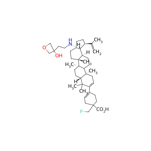 C=C(C)[C@@H]1CC[C@]2(NCCC3(O)COC3)CC[C@]3(C)[C@H](CCC4[C@@]5(C)CC=C(C6=CCC(CF)(C(=O)O)CC6)C(C)(C)[C@@H]5CC[C@]43C)[C@@H]12